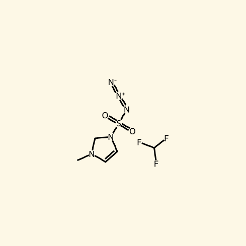 CN1C=CN(S(=O)(=O)N=[N+]=[N-])C1.FC(F)F